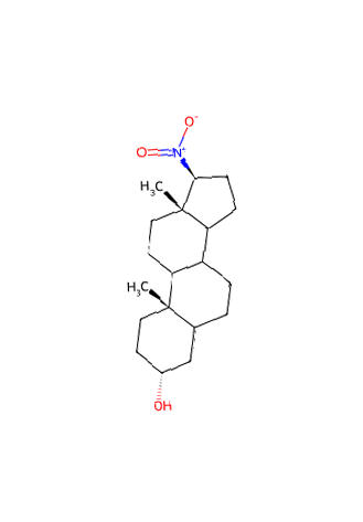 C[C@]12CC[C@@H](O)CC1CCC1C2CC[C@@]2(C)C1CC[C@@H]2[N+](=O)[O-]